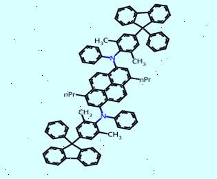 CCCc1cc(N(c2ccccc2)c2c(C)cc(C3(c4ccccc4)c4ccccc4-c4ccccc43)cc2C)c2ccc3c(CCC)cc(N(c4ccccc4)c4c(C)cc(C5(c6ccccc6)c6ccccc6-c6ccccc65)cc4C)c4ccc1c2c34